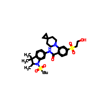 CC1N(S(=O)(=O)C(C)(C)C)c2cc(NC(=O)c3ccc(S(=O)(=O)CCO)cc3N3CCC4(CC3)CC4)ccc2C1(C)C